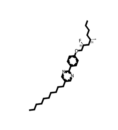 CCCCCCCCCCc1cnc(-c2ccc(OC[C@H](F)C[C@@H](C)CCCC)cc2)nc1